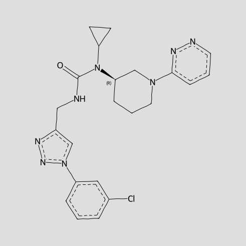 O=C(NCc1cn(-c2cccc(Cl)c2)nn1)N(C1CC1)[C@@H]1CCCN(c2cccnn2)C1